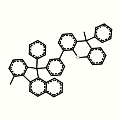 Cc1cccc2c1-c1ccc3ccccc3c1C2(c1ccccc1)c1cccc(-c2cccc3c2Oc2ccccc2C3(C)c2ccccc2)c1